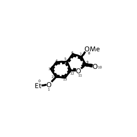 CCOc1ccc2cc(OC)c(=O)oc2c1